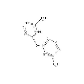 O=CC(Cc1cccc(O)c1)NC(=O)O